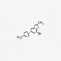 CC1=Cc2cc(-c3ccc(C)cc3)cc(Br)c2C1